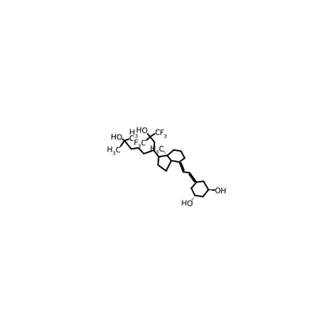 CC(C)(O)CCCC(CC(O)(C(F)(F)F)C(F)(F)F)C1CCC2/C(=C/C=C3C[C@@H](O)C[C@H](O)C3)CCC[C@@]21C